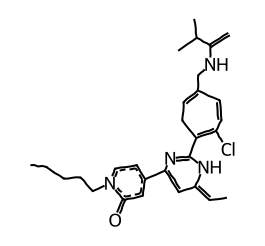 C=C(NCC1=CCC(C2=NC(c3ccn(CCCCC)c(=O)c3)=C/C(=C/C)N2)=C(Cl)C=C1)C(C)C